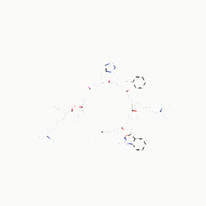 CC(=O)N[C@H](CCCNC(=N)N)C(=O)N[C@H]1CSSC(C)(C)[C@@H](C(=O)O)NC(=O)[C@H](Cc2c[nH]c3ccccc23)NC(=O)[C@H](CCCNC(=N)N)NC(=O)[C@@H](Cc2ccccc2)NC(=O)[C@H](Cc2c[nH]cn2)NC(=O)[C@@H](C)NC1=O